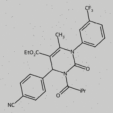 CCOC(=O)C1=C(C)N(c2cccc(C(F)(F)F)c2)C(=O)N(C(=O)C(C)C)C1c1ccc(C#N)cc1